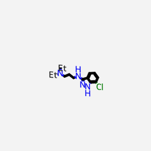 CCN(CC)CCCNc1n[nH]c2c(Cl)cccc12